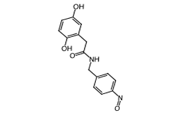 O=Nc1ccc(CNC(=O)Cc2cc(O)ccc2O)cc1